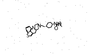 CN(C)C(=O)N[C@H]1CC[C@H](CCN2CCN3c4cccc5scc(c45)CC3C2)CC1